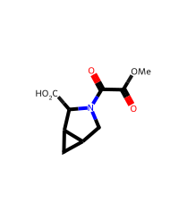 COC(=O)C(=O)N1CC2CC2C1C(=O)O